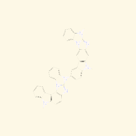 Cn1c2ccc(-n3c4ccccc4n4c5c(ccc6c5c5ccccc5n6C)nc34)cc2c2cc3c(cc21)nc1n(C)c2ccccc2n31